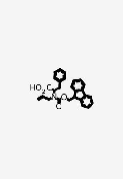 C=CCN(C(=O)OCC1c2ccccc2-c2ccccc21)C(Cc1ccccc1)C(=O)O